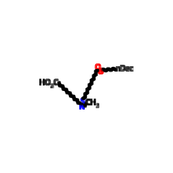 CCCCCCCCCCCCCCCCOC(=O)CCCCCCCCCCCCCN1C(CCCCCCCCCCCCC(=O)O)=NCC1C